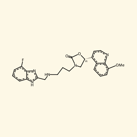 COc1cccc2c([C@@H]3CN(CCCNCc4nc5c(F)cccc5[nH]4)C(=O)O3)ccnc12